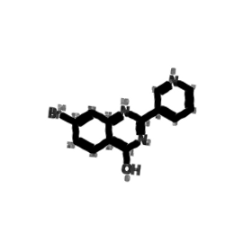 Oc1nc(-c2cccnc2)nc2cc(Br)ccc12